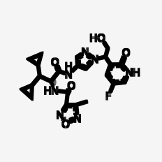 Cc1nonc1C(=O)N[C@H](C(=O)Nc1cnn(C(CO)c2cc(F)c[nH]c2=O)c1)C(C1CC1)C1CC1